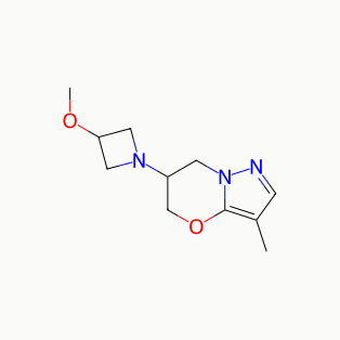 COC1CN(C2COc3c(C)cnn3C2)C1